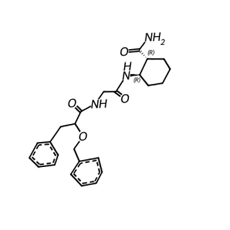 NC(=O)[C@@H]1CCCC[C@H]1NC(=O)CNC(=O)C(Cc1ccccc1)OCc1ccccc1